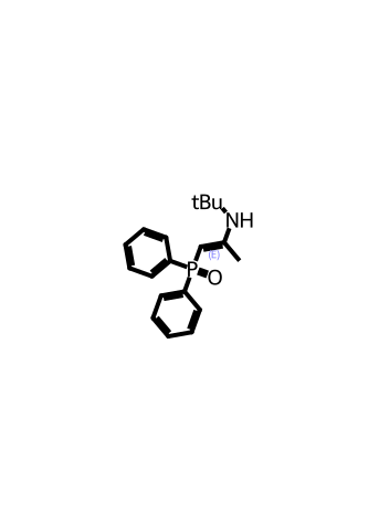 C/C(=C\P(=O)(c1ccccc1)c1ccccc1)NC(C)(C)C